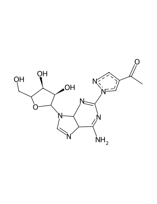 CC(=O)c1cnn(C2=NC3C(N=CN3C3OC(CO)[C@@H](O)[C@H]3O)C(N)=N2)c1